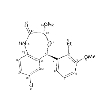 CCc1c(OC)cccc1[C@@H]1O[C@@H](OC(C)=O)C(=O)Nc2ccc(Cl)cc21